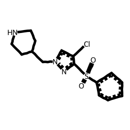 O=S(=O)(c1ccccc1)c1nn(CC2CCNCC2)cc1Cl